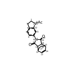 CC(=O)N1CCc2ccc(N3C(=O)C4C5C=CC(CC5)C4C3=O)cc21